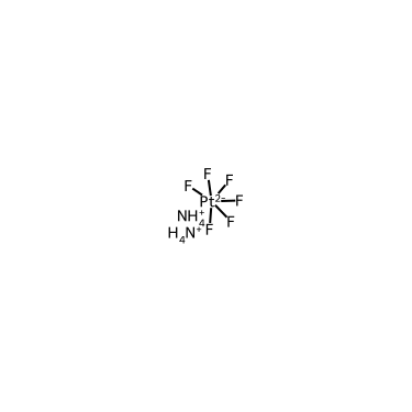 [F][Pt-2]([F])([F])([F])([F])[F].[NH4+].[NH4+]